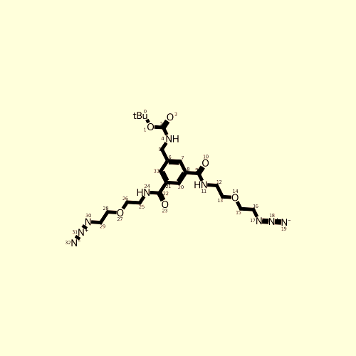 CC(C)(C)OC(=O)NCc1cc(C(=O)NCCOCCN=[N+]=[N-])cc(C(=O)NCCOCCN=[N+]=[N-])c1